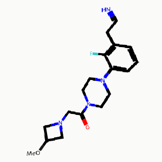 COC1CN(CC(=O)N2CCN(c3cccc(CC=N)c3F)CC2)C1